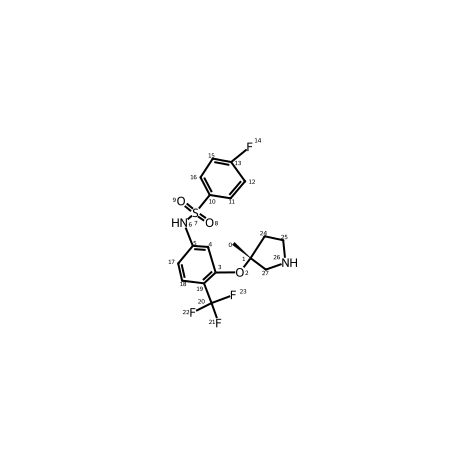 C[C@@]1(Oc2cc(NS(=O)(=O)c3ccc(F)cc3)ccc2C(F)(F)F)CCNC1